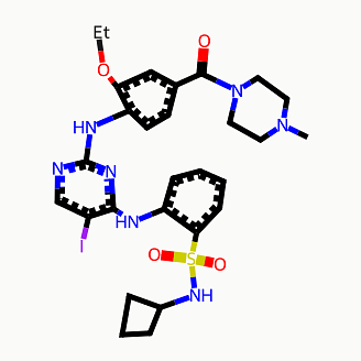 CCOc1cc(C(=O)N2CCN(C)CC2)ccc1Nc1ncc(I)c(Nc2ccccc2S(=O)(=O)NC2CCC2)n1